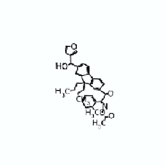 CCCC1(CCC)c2cc(C(=O)/C(=N/OC(C)=O)c3ccccc3C)ccc2-c2ccc(C(O)c3ccoc3)cc21